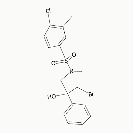 Cc1cc(S(=O)(=O)N(C)CC(O)(CBr)c2ccccc2)ccc1Cl